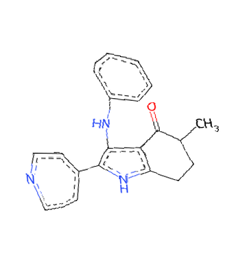 CC1CCc2[nH]c(-c3ccncc3)c(Nc3ccccc3)c2C1=O